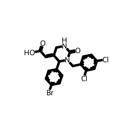 O=C(O)/C=C1\CNC(=O)N(Cc2ccc(Cl)cc2Cl)C1c1ccc(Br)cc1